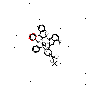 CC(C)(C)OC(=O)N1CCN([S+]([O-])c2ccccc2)[C@@H](CCc2c(F)cccc2NC(=O)C(OCc2ccccc2)C(c2ccccc2)c2ccccc2)C1